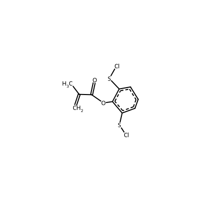 C=C(C)C(=O)Oc1c(SCl)cccc1SCl